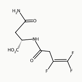 NC(=O)C[C@H](NC(=O)CC(F)=C(F)F)C(=O)O